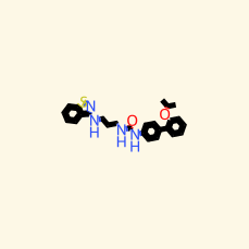 CC(C)Oc1ccccc1-c1ccc(NC(=O)NCCCNc2nsc3ccccc23)cc1